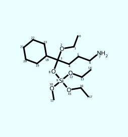 CCOC(CCCN)(O[Si](OC)(OCC)OCC)C1CCCCC1